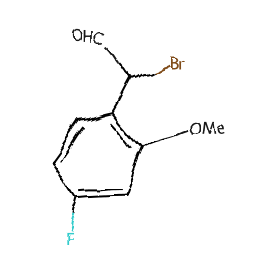 COc1cc(F)ccc1C(Br)C=O